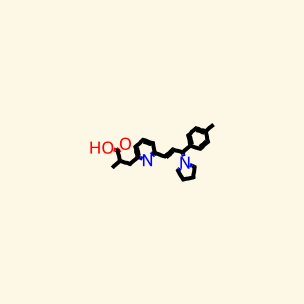 Cc1ccc(C(C=Cc2cccc(CC(C)C(=O)O)n2)N2CCCC2)cc1